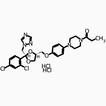 CCC(=O)N1CCN(c2ccc(OC[C@@H]3CO[C@@](Cn4cncn4)(c4ccc(Cl)cc4Cl)O3)cc2)CC1.Cl.Cl